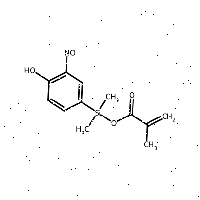 C=C(C)C(=O)O[Si](C)(C)c1ccc(O)c(N=O)c1